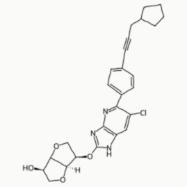 O[C@@H]1CO[C@H]2C1OC[C@H]2Oc1nc2nc(-c3ccc(C#CCC4CCCC4)cc3)c(Cl)cc2[nH]1